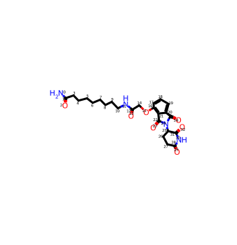 NC(=O)CCCCCCCCNC(=O)COc1cccc2c1C(=O)N(C1CCC(=O)NC1=O)C2=O